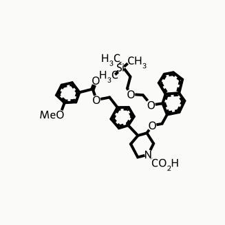 COc1cccc(C(=O)OCc2ccc(C3CCN(C(=O)O)CC3OCc3ccc4ccccc4c3OCOCC[Si](C)(C)C)cc2)c1